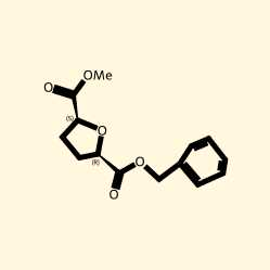 COC(=O)[C@@H]1CC[C@H](C(=O)OCc2ccccc2)O1